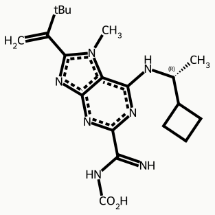 C=C(c1nc2nc(C(=N)NC(=O)O)nc(N[C@H](C)C3CCC3)c2n1C)C(C)(C)C